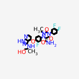 CCN1C(=O)N(c2ccc(F)c(F)c2)C(=O)[C@H](C(N)=O)N1c1ccc(Oc2ccnc3[nH]nc(NC(C)CO)c23)c(F)c1